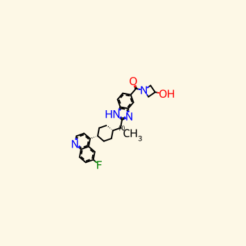 C[C@@H](c1nc2cc(C(=O)N3CC(O)C3)ccc2[nH]1)[C@H]1CC[C@@H](c2ccnc3ccc(F)cc32)CC1